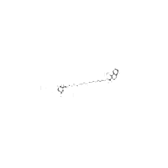 O=C(O)c1cc(NCCCCCCCCCCCCCCCCCCC(=O)c2ccc3ccccc3c2O)cc(C(=O)O)c1